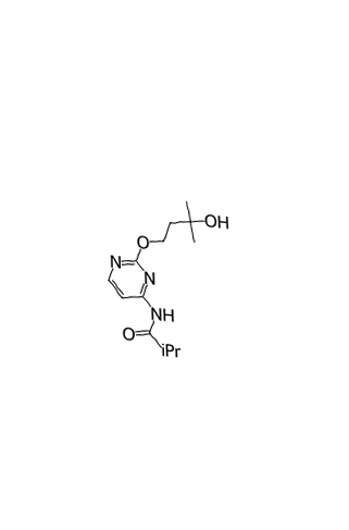 CC(C)C(=O)Nc1ccnc(OCCC(C)(C)O)n1